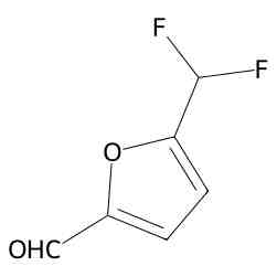 O=Cc1ccc(C(F)F)o1